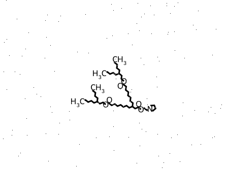 CCCCCC(CCCCC)CCOC(=O)CCCCCCCC(CCCCCCCC(=O)OCCC(CCCCC)CCCCC)CC(=O)OCCN1CCCC1